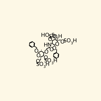 O=C(CO[C@@H]1[CH][C@@H](OCc2ccccc2)O[C@H](COS(=O)(=O)O)[C@H]1OS(=O)(=O)O)N[C@@H]1[C@@H](OCc2ccccc2)O[C@H](COS(=O)(=O)O)[C@@H](OS(=O)(=O)O)[C@@H]1OS(=O)(=O)O